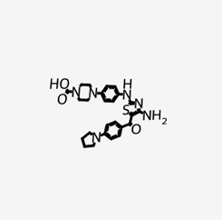 Nc1nc(Nc2ccc(N3CCN(C(=O)O)CC3)cc2)sc1C(=O)c1ccc(N2CCCC2)cc1